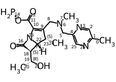 Cc1cnc(CN(C)CC2=C(C(=O)OP)N3C(=O)[C@H]([C@@H](C)O)[C@H]3[C@H]2C)cn1